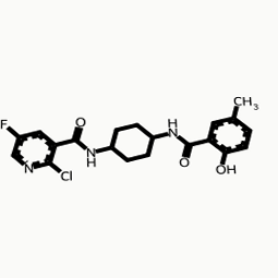 Cc1ccc(O)c(C(=O)NC2CCC(NC(=O)c3cc(F)cnc3Cl)CC2)c1